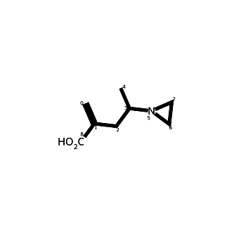 C=C(CC(C)N1CC1)C(=O)O